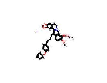 COc1ccc2c(CCCc3ccc(Oc4ccccc4)cc3)c3[n+](cc2c1OC)CCc1cc2c(cc1-3)OCO2.[I-]